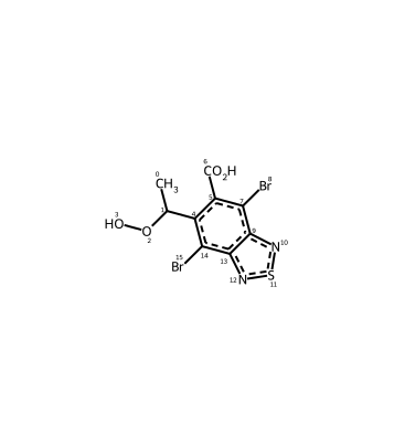 CC(OO)c1c(C(=O)O)c(Br)c2nsnc2c1Br